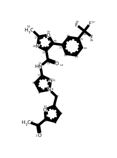 CC(=O)c1ccc(Cn2ccc(NC(=O)c3nc(C)oc3-c3cccc(C(F)(F)F)c3)n2)o1